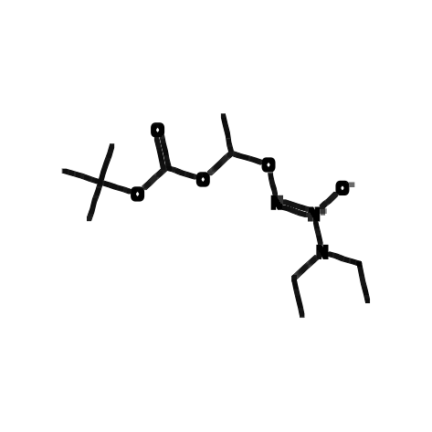 CCN(CC)/[N+]([O-])=N/OC(C)OC(=O)OC(C)(C)C